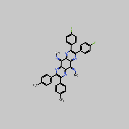 [C-]#[N+]/N=C1/c2nc(-c3ccc(F)cc3)c(-c3ccc(F)cc3)nc2/C(=N\C#N)c2nc(-c3ccc(C(F)(F)F)cc3)c(-c3ccc(C(F)(F)F)cc3)nc21